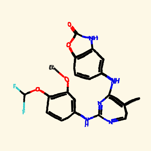 CCOc1cc(Nc2ncc(C)c(Nc3ccc4oc(=O)[nH]c4c3)n2)ccc1OC(F)F